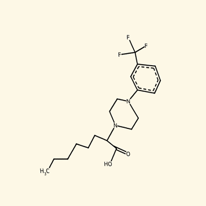 CCCCCCC(C(=O)O)N1CCN(c2cccc(C(F)(F)F)c2)CC1